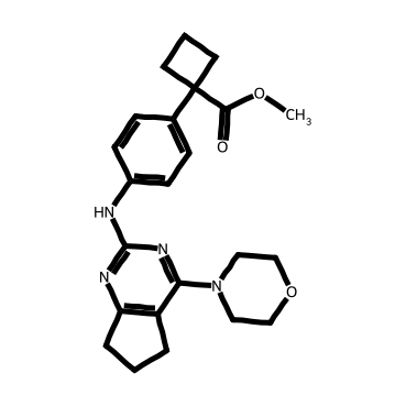 COC(=O)C1(c2ccc(Nc3nc4c(c(N5CCOCC5)n3)CCC4)cc2)CCC1